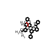 CC(C)(C)c1ccc(N2c3cc4c(cc3B3c5c(cc(-c6ccccc6)cc52)-c2cccc5c6c7ccccc7sc6n3c25)Sc2ccccc2C4(C)C)c(-c2ccccc2)c1